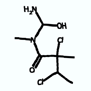 CC(Cl)C(C)(Cl)C(=O)N(C)C(N)O